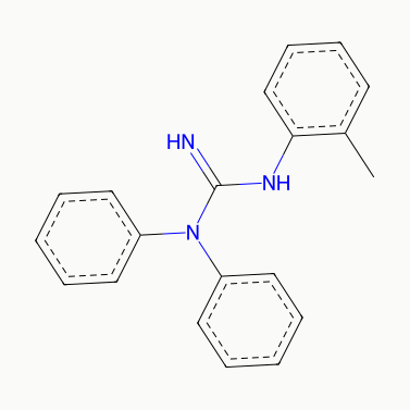 Cc1ccccc1NC(=N)N(c1ccccc1)c1ccccc1